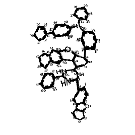 C1=Cc2c(oc3ccc(C4NC(C5=CC=C(c6cccc(N(c7ccccc7)c7ccc(-c8ccccc8)cc7)c6)C6Oc7cc8ccccc8cc7C56)NC(c5ccccc5)N4)cc23)CC1